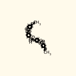 CCOc1ccc(S(=O)(=O)Oc2ccc(NC(=O)Nc3ccc(OS(=O)(=O)c4ccc(OCC)cc4)cc3)cc2)cc1